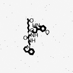 COc1ccc2[nH]c(C)c(CC(=O)N[C@@H](CCCCCC(C)=O)C(=O)NCCN3CCCc4ccccc43)c2c1